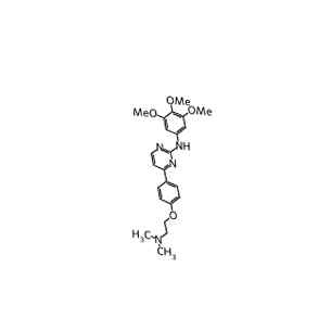 COc1cc(Nc2nccc(-c3ccc(OCCN(C)C)cc3)n2)cc(OC)c1OC